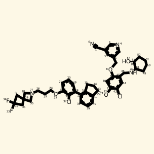 N#Cc1cncc(COc2cc(O[C@H]3CCc4c(-c5cccc(OCCCN6CC7(C6)CC(F)(F)C7)c5Cl)cccc43)c(Cl)cc2CN[C@@H]2CCCC[C@@H]2O)c1